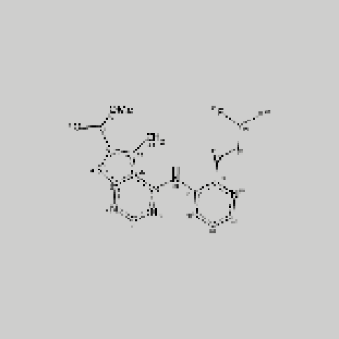 COC(=O)c1sc2ncnc(Nc3cccnc3OCC(F)F)c2c1C